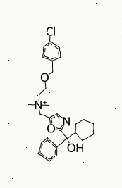 C[N+](C)(CCOCc1ccc(Cl)cc1)Cc1cnc(C(O)(c2ccccc2)C2CCCCC2)o1